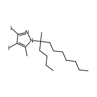 CCCCCCCC(C)(CCCC)n1nc(I)c(I)c1C